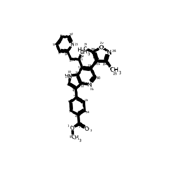 COC(=O)c1ccc(-c2c[nH]c3c(C(C)Cc4ccccn4)c(-c4c(C)noc4C)cnc23)cc1